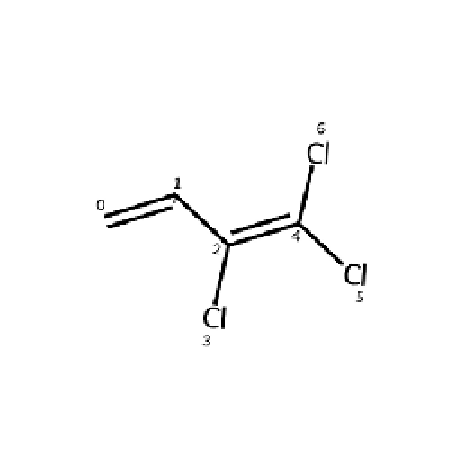 C=[C]C(Cl)=C(Cl)Cl